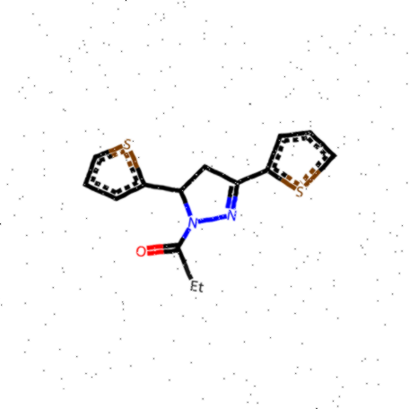 CCC(=O)N1N=C(c2cccs2)CC1c1cccs1